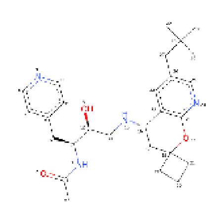 CC(=O)N[C@@H](Cc1ccncc1)[C@@H](O)CN[C@H]1CC2(CCC2)Oc2ncc(CC(C)(C)C)cc21